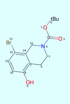 CC(C)(C)OC(=O)N1CCc2c(O)ccc(Br)c2C1